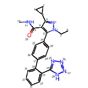 CCn1nc(C2CC2)c(C(=O)NC)c1-c1ccc(-c2ccccc2-c2nnn[nH]2)cc1